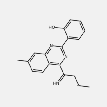 C[CH]CC(=N)c1nc(-c2ccccc2O)nc2cc(C)ccc12